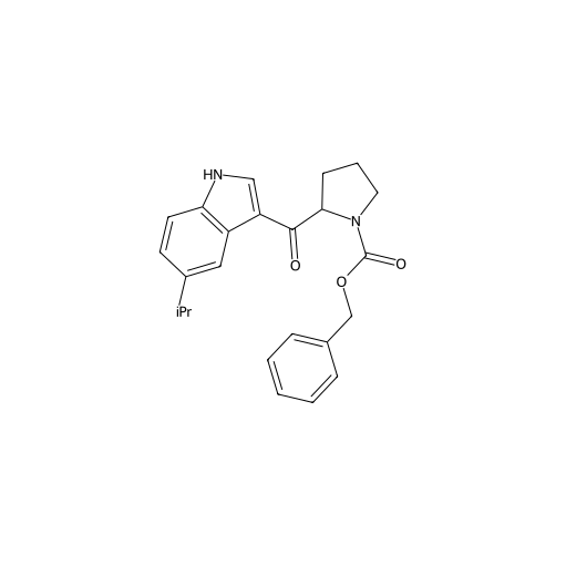 CC(C)c1ccc2[nH]cc(C(=O)C3CCCN3C(=O)OCc3ccccc3)c2c1